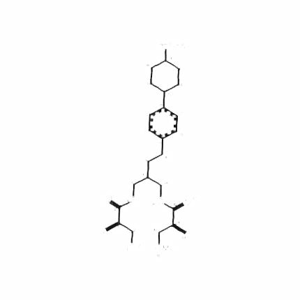 C=C(CO)C(=O)OCC(CCc1ccc(C2CCC(CCCCC)CC2)cc1)COC(=O)C(=C)COC